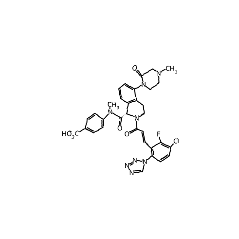 CN1CCN(c2cccc3c2CCN(C(=O)/C=C/c2c(-n4cnnn4)ccc(Cl)c2F)[C@@H]3C(=O)N(C)c2ccc(C(=O)O)cc2)C(=O)C1